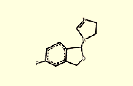 Fc1ccc2c(c1)COC2N1C=NCC1